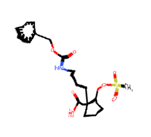 CS(=O)(=O)OC1CCCC1(CCCNC(=O)OCc1ccccc1)C(=O)O